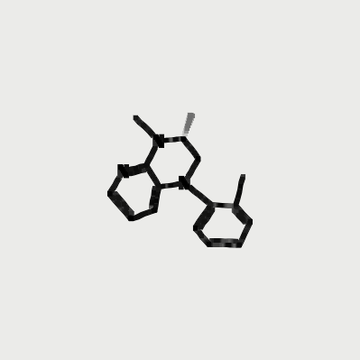 Cc1ccccc1N1C[C@@H](C)N(C)c2ncccc21